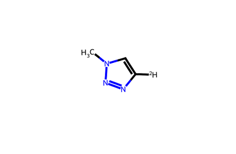 [2H]c1cn(C)nn1